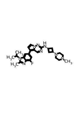 Cc1nc2c(F)cc(-c3ccn4nc(N[C@H]5C[C@@H](N6CCN(C)CC6)C5)ncc34)cc2n1C(C)C